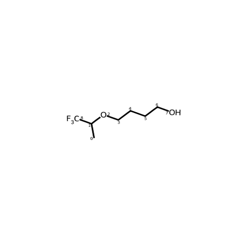 CC(OCCCCO)C(F)(F)F